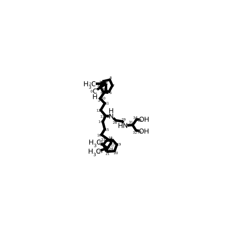 CC1(C)C2CCC(CC2)C1CCCC(CCCC1C2CCC(CC2)C1(C)C)NCCNC(CO)CO